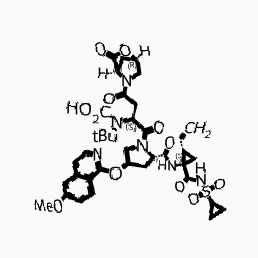 C=C[C@@H]1C[C@]1(NC(=O)[C@@H]1CC(Oc2nccc3cc(OC)ccc23)CN1C(=O)[C@H](CC(=O)N1C[C@H]2C[C@@H]1C(=O)O2)N(C(=O)O)C(C)(C)C)C(=O)NS(=O)(=O)C1CC1